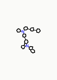 c1ccc(-c2ccc(-c3cccc(N(c4ccccc4)c4ccc(-c5ccc6c(c5)c5ccccc5n6-c5ccc6ccccc6c5)cc4)c3)cc2)cc1